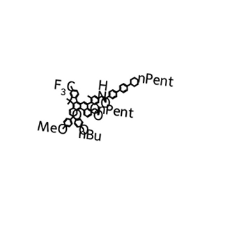 CCCCCC(=O)Oc1cccc2c1c(-c1ccc(NC(=O)c3ccc(-c4ccc(C5CCC(CCCCC)CC5)cc4)cc3)cc1C)cc1c3c(c4c(c12)OC(c1ccc(OC)cc1)(c1ccc(OCCCC)cc1)C=C4)C(C)(C)c1cc(C(F)(F)F)ccc1-3